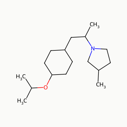 CC1CCN(C(C)CC2CCC(OC(C)C)CC2)C1